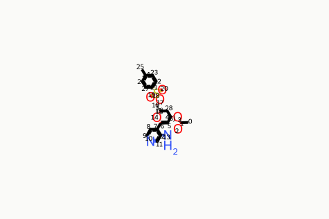 CC(=O)O[C@@H]1C=C(c2ccncc2N)O[C@H](COS(=O)(=O)c2ccc(C)cc2)C1